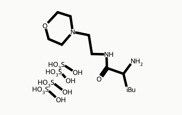 CCC(C)C(N)C(=O)NCCN1CCOCC1.O=S(=O)(O)O.O=S(=O)(O)O.O=S(=O)(O)O.O=S(=O)(O)O